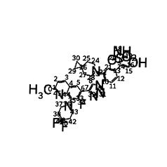 Cc1ccc2cc(-c3cn(-c4ccc(C(=CO)S(N)(=O)=O)cc4N4CCC5(CC4)CC5)nn3)c(F)c(N3CCC(F)(F)CC3)c2n1